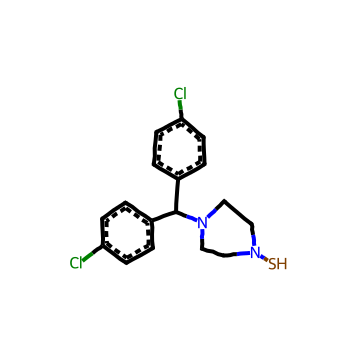 SN1CCN(C(c2ccc(Cl)cc2)c2ccc(Cl)cc2)CC1